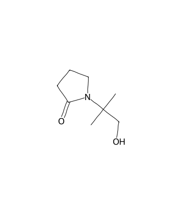 CC(C)(CO)N1CCCC1=O